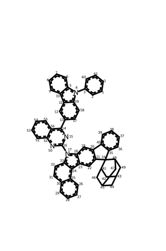 c1ccc(-n2c3ccccc3c3cc(-c4nc(-n5c6cc7c(cc6c6c8ccccc8ccc65)C5(c6ccccc6-7)C6CC7CC(C6)CC5C7)nc5ccccc45)ccc32)cc1